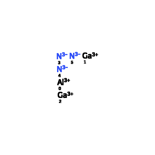 [Al+3].[Ga+3].[Ga+3].[N-3].[N-3].[N-3]